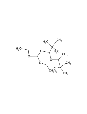 CCOC(OCC)OC(OC(C)C(C)(C)C)C(C)(C)C